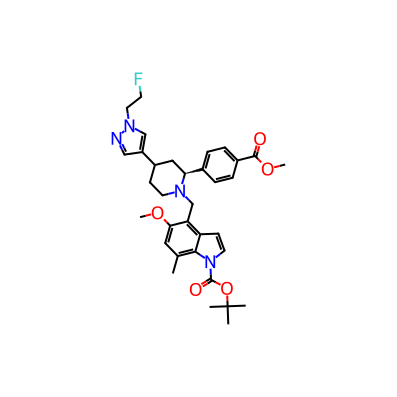 COC(=O)c1ccc([C@@H]2CC(c3cnn(CCF)c3)CCN2Cc2c(OC)cc(C)c3c2ccn3C(=O)OC(C)(C)C)cc1